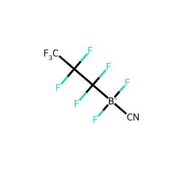 N#C[B-](F)(F)C(F)(F)C(F)(F)C(F)(F)F